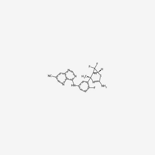 C[C@]1(c2cc(Nc3ncnc4cc(C#N)cnc34)ccc2F)N=C(N)S[C@@H]2[C@H]1C2(F)F